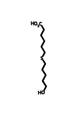 O=C(O)CCCCCSCCCCCO